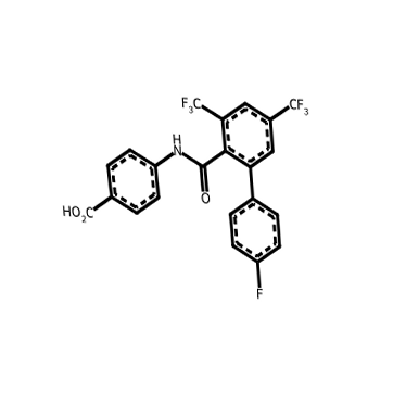 O=C(O)c1ccc(NC(=O)c2c(-c3ccc(F)cc3)cc(C(F)(F)F)cc2C(F)(F)F)cc1